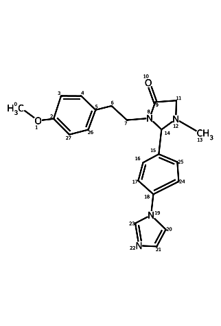 COc1ccc(CCN2C(=O)CN(C)C2c2ccc(-n3ccnc3)cc2)cc1